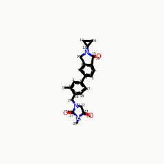 Cc1cc(-c2ccc3c(c2)CN(C2CC2)C3=O)ccc1CN1CC(=O)N(C)C1=O